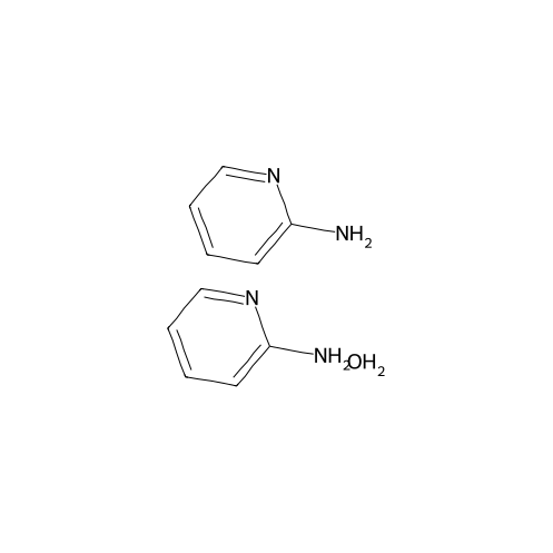 Nc1ccccn1.Nc1ccccn1.O